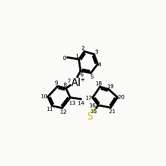 Cc1cccc[c]1[Al+][c]1ccccc1C.[S-]c1ccccc1